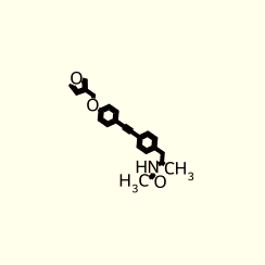 CC(=O)NC(C)Cc1ccc(C#Cc2ccc(OCc3ccoc3)cc2)cc1